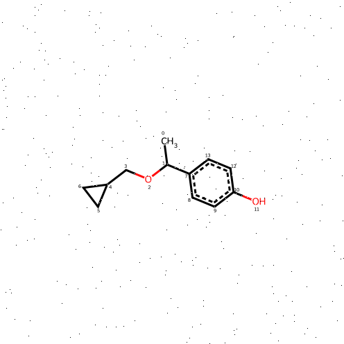 CC(OCC1CC1)c1ccc(O)cc1